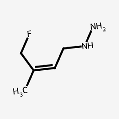 CC(=CCNN)CF